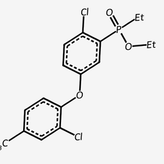 CCOP(=O)(CC)c1cc(Oc2ccc(C(F)(F)F)cc2Cl)ccc1Cl